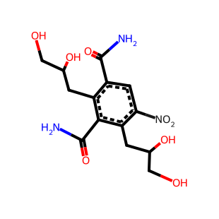 NC(=O)c1cc([N+](=O)[O-])c(CC(O)CO)c(C(N)=O)c1CC(O)CO